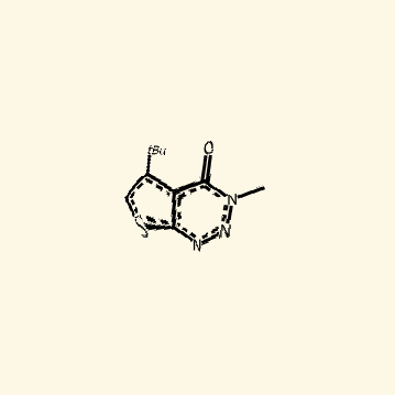 Cn1nnc2scc(C(C)(C)C)c2c1=O